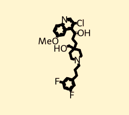 COc1ccc2ncc(Cl)c([C@H](O)CCC3(CO)CCN(CCCc4cc(F)cc(F)c4)CC3)c2c1